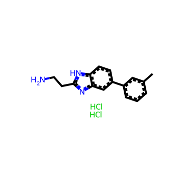 Cc1cccc(-c2ccc3[nH]c(CCN)nc3c2)c1.Cl.Cl